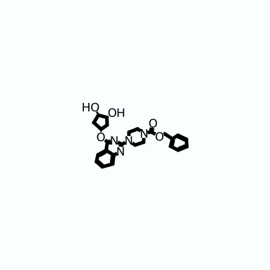 O=C(OCc1ccccc1)N1CCN(c2nc(O[C@@H]3C[C@@H](O)[C@@H](O)C3)c3ccccc3n2)CC1